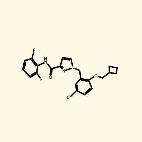 O=C(Nc1c(F)cccc1F)c1ccn(Cc2cc(Cl)ccc2OCC2CCC2)n1